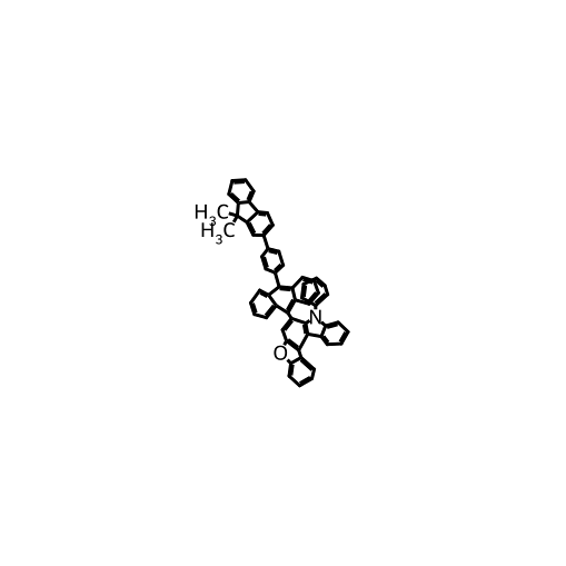 CC1(C)c2ccccc2-c2ccc(-c3ccc(-c4c5ccccc5c(-c5cc6oc7ccccc7c6c6c7ccccc7n(-c7ccccc7)c56)c5ccccc45)cc3)cc21